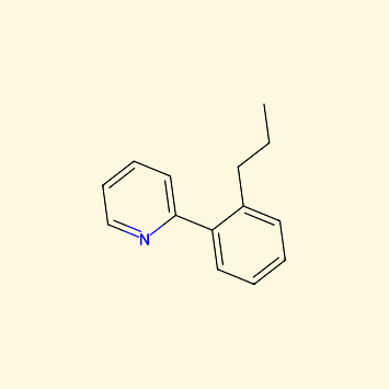 CCCc1ccccc1-c1ccccn1